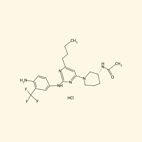 CCCCc1cc(N2CCC[C@@H](NC(C)=O)C2)nc(Nc2ccc(N)c(C(F)(F)F)c2)n1.Cl